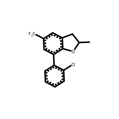 CC1Cc2cc(C(F)(F)F)cc(-c3ccccc3Cl)c2O1